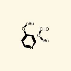 CCC(C)OC=O.CCCCOc1ccncc1